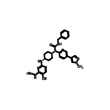 CCCCNc1nc(N[C@H]2CC[C@H](N(C(=O)NCc3ccccc3)c3ccc(-c4cnn(C)c4)cn3)CC2)ncc1C#N